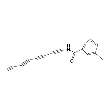 C#CC#CC#CC#CNC(=O)c1cccc(C)c1